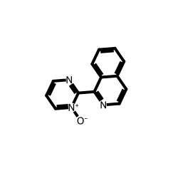 [O-][n+]1cccnc1-c1nccc2ccccc12